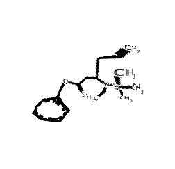 C=CCC(CC(=S)Oc1ccccc1)N(C)[Si](C)(C)C